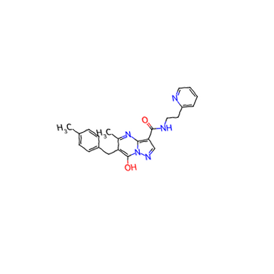 Cc1ccc(Cc2c(C)nc3c(C(=O)NCCc4ccccn4)cnn3c2O)cc1